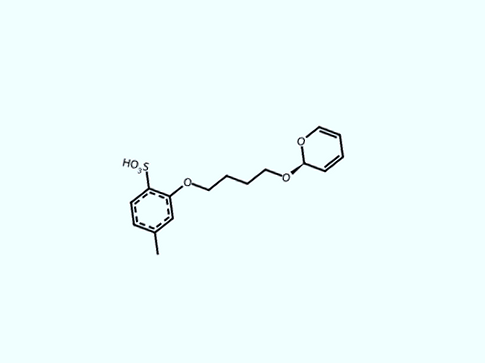 Cc1ccc(S(=O)(=O)O)c(OCCCCO[C@@H]2C=CC=CO2)c1